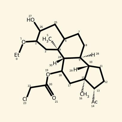 CCOC1C[C@@]2(C)C(CC[C@H]3[C@@H]4CC[C@H](C(C)=O)[C@@]4(C)CC(OC(=O)CCl)[C@@H]32)CC1O